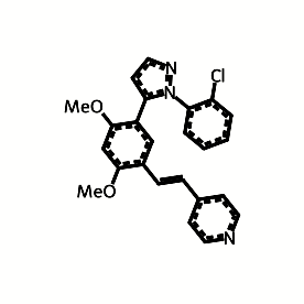 COc1cc(OC)c(-c2ccnn2-c2ccccc2Cl)cc1C=Cc1ccncc1